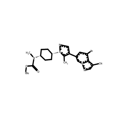 Cc1c(-c2cc(Br)c3c(C#N)cnn3c2)cnn1[C@H]1CC[C@@H](N(C)C(=O)OC(C)(C)C)CC1